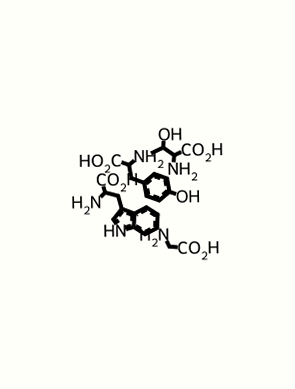 CC(O)C(N)C(=O)O.NC(Cc1c[nH]c2ccccc12)C(=O)O.NC(Cc1ccc(O)cc1)C(=O)O.NCC(=O)O